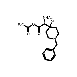 CC(=O)N[C@@H](C(=O)OC(=O)C(F)(F)F)C1(S)CCN(Cc2ccccc2)CC1